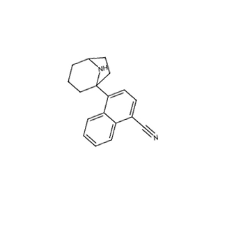 N#Cc1ccc(C23CCCC(CC2)N3)c2ccccc12